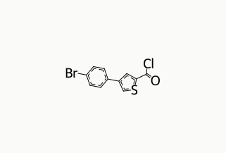 O=C(Cl)c1cc(-c2ccc(Br)cc2)cs1